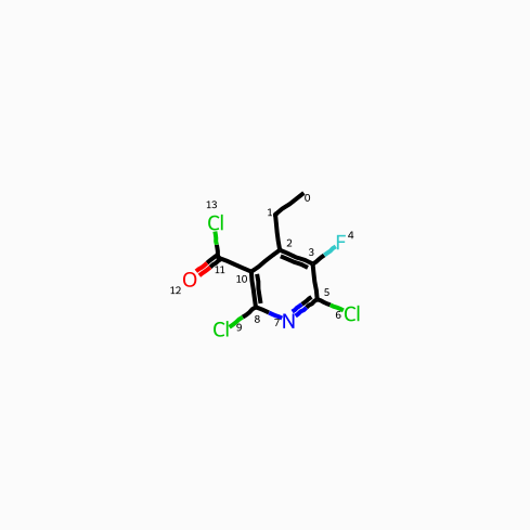 CCc1c(F)c(Cl)nc(Cl)c1C(=O)Cl